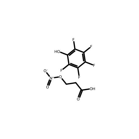 O=C(O)CCO[N+](=O)[O-].Oc1c(F)c(F)c(F)c(F)c1F